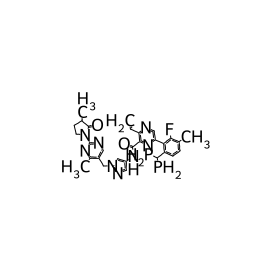 C=Cc1ncc(-c2c(C(P)P)ccc(C)c2F)nc1C(=O)Nc1cnn(Cc2cnc(N3CC[C@@H](C)C3=O)nc2C)c1